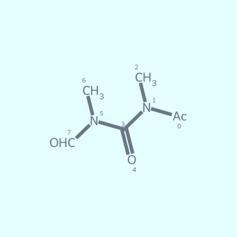 CC(=O)N(C)C(=O)N(C)C=O